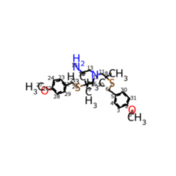 COc1ccc(CSC(C)(C)CN(CCN)CC(C)(C)SCc2ccc(OC)cc2)cc1